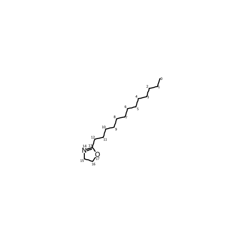 CCCCCCCCCCCCCC1=NCCO1